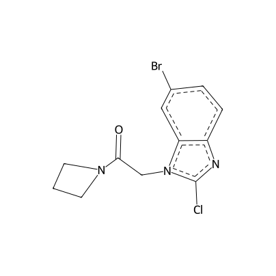 O=C(Cn1c(Cl)nc2ccc(Br)cc21)N1CCC1